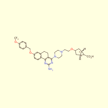 Nc1nc2c(c(N3CCN(CCOC4C[C@@H]5C(C(=O)O)[C@@H]5C4)CC3)n1)CCc1cc(OCc3ccc(OC(F)(F)F)cc3)ccc1-2